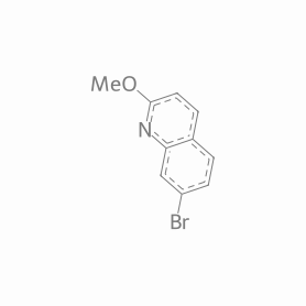 COc1ccc2ccc(Br)cc2n1